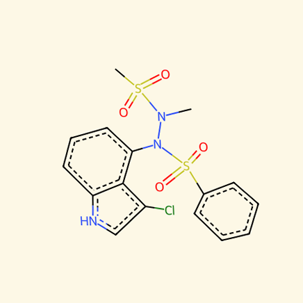 CN(N(c1cccc2[nH]cc(Cl)c12)S(=O)(=O)c1ccccc1)S(C)(=O)=O